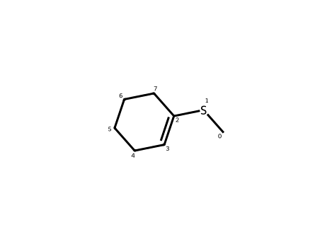 CSC1=CCCCC1